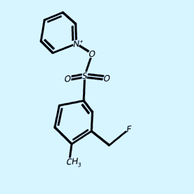 Cc1ccc(S(=O)(=O)O[n+]2ccccc2)cc1CF